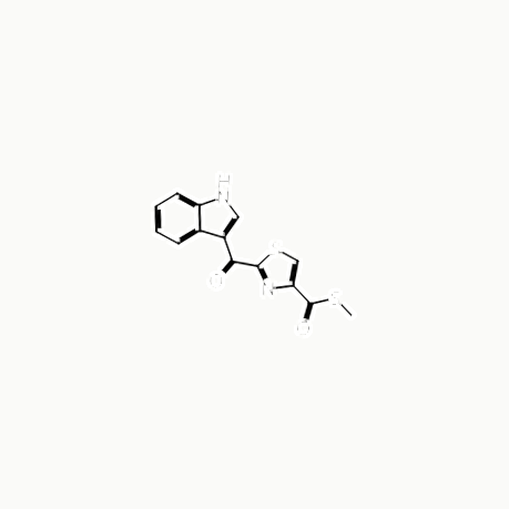 CSC(=O)c1csc(C(=O)c2c[nH]c3ccccc23)n1